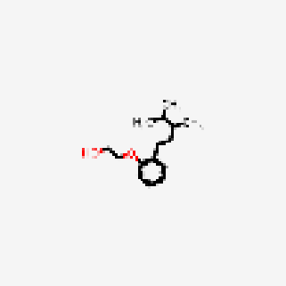 CC(C)C(C)CCc1ccccc1OCCO